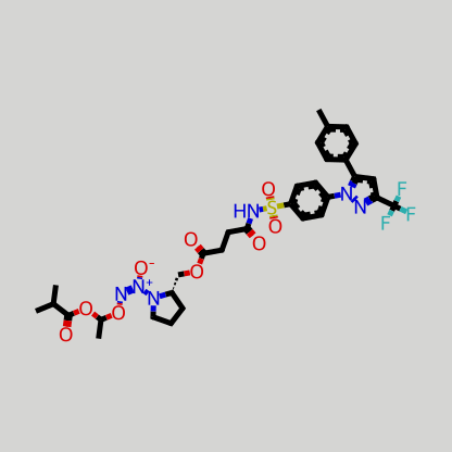 Cc1ccc(-c2cc(C(F)(F)F)nn2-c2ccc(S(=O)(=O)NC(=O)CCC(=O)OC[C@@H]3CCCN3/[N+]([O-])=N\OC(C)OC(=O)C(C)C)cc2)cc1